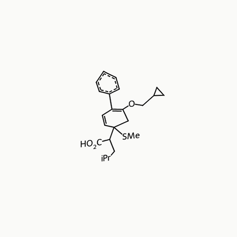 CSC1(C(CC(C)C)C(=O)O)C=CC(c2ccccc2)=C(OCC2CC2)C1